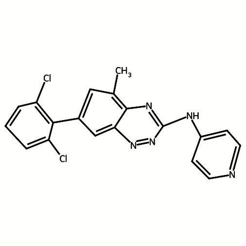 Cc1cc(-c2c(Cl)cccc2Cl)cc2nnc(Nc3ccncc3)nc12